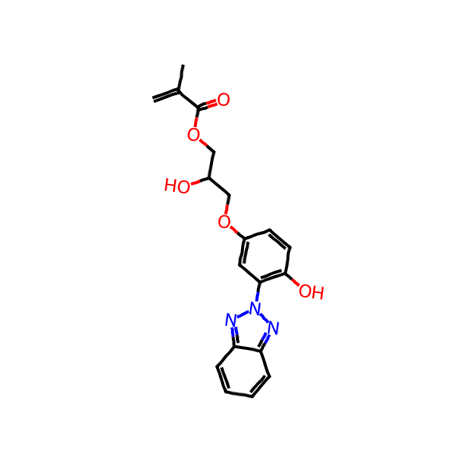 C=C(C)C(=O)OCC(O)COc1ccc(O)c(-n2nc3ccccc3n2)c1